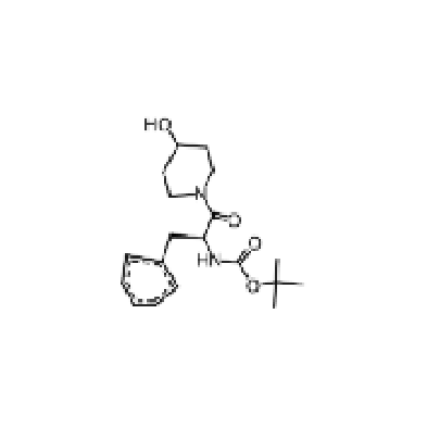 CC(C)(C)OC(=O)N[C@@H](Cc1ccccc1)C(=O)N1CCC(O)CC1